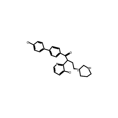 O=C(c1ccc(-c2ccc(Cl)cc2)cc1)C(CC[C@@H]1CCCNC1)c1ncccc1Cl